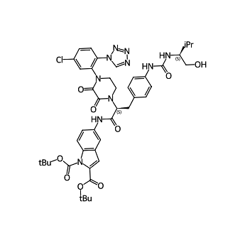 CC(C)[C@@H](CO)NC(=O)Nc1ccc(C[C@@H](C(=O)Nc2ccc3c(c2)cc(C(=O)OC(C)(C)C)n3C(=O)OC(C)(C)C)N2CCN(c3cc(Cl)ccc3-n3cnnn3)C(=O)C2=O)cc1